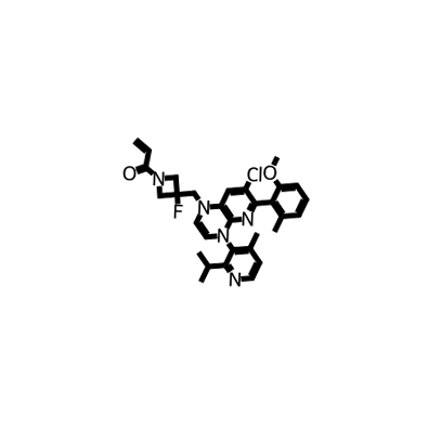 C=CC(=O)N1CC(F)(CN2C=CN(c3c(C)ccnc3C(C)C)c3nc(-c4c(C)cccc4OC)c(Cl)cc32)C1